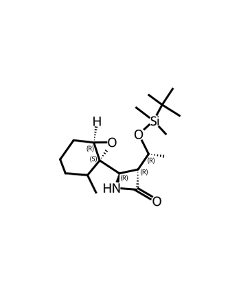 CC1CCC[C@H]2O[C@]12[C@@H]1NC(=O)[C@H]1[C@@H](C)O[Si](C)(C)C(C)(C)C